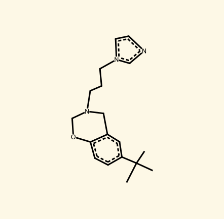 CC(C)(C)c1ccc2c(c1)CN(CCCn1ccnc1)CO2